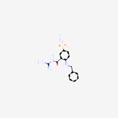 N=C(N)NC(=O)c1cc(S(N)(=O)=O)ccc1NCc1ccccc1